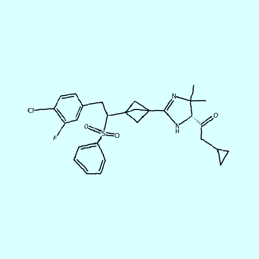 CC1(C)N=C(C23CC(C(Cc4ccc(Cl)c(F)c4)S(=O)(=O)c4ccccc4)(C2)C3)N[C@H]1C(=O)CC1CC1